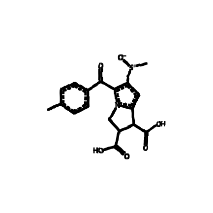 Cc1ccc(C(=O)c2c([S+](C)[O-])cc3n2CC(C(=O)O)C3C(=O)O)cc1